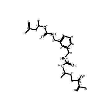 C=C(C)CC(C)OC(=O)NCc1cccc(CNC(=O)OC(C)CCC(=O)C(=C)C)c1